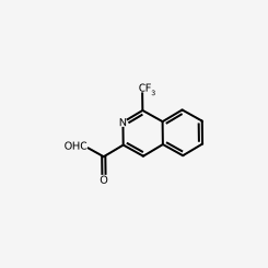 O=CC(=O)c1cc2ccccc2c(C(F)(F)F)n1